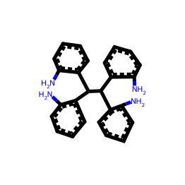 Nc1ccccc1C(c1ccccc1N)C(c1ccccc1N)c1ccccc1N